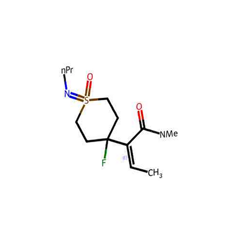 C/C=C(\C(=O)NC)C1(F)CCS(=O)(=NCCC)CC1